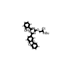 CCCCC(CC)COc1nc(-c2ccc3oc4ccccc4c3c2)nc(-c2ccccc2O)n1